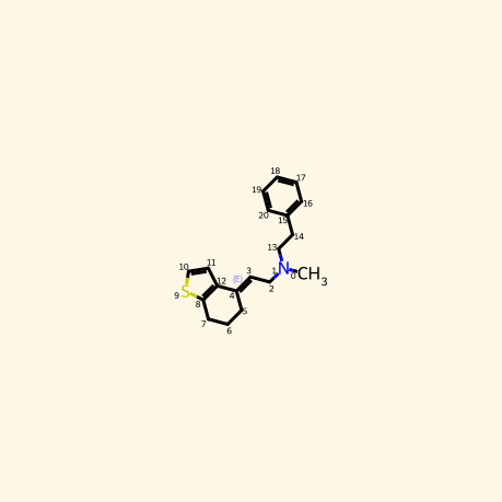 CN(C/C=C1\CCCc2sccc21)CCc1ccccc1